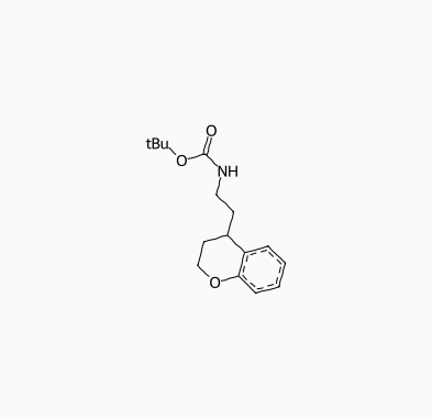 CC(C)(C)OC(=O)NCCC1CCOc2ccccc21